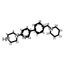 c1cc(-c2ccc(N3CCNCC3)nc2)ccc1CN1CCCCC1